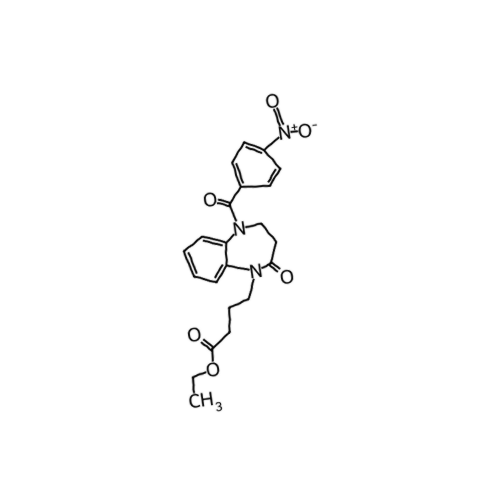 CCOC(=O)CCCN1C(=O)CCN(C(=O)c2ccc([N+](=O)[O-])cc2)c2ccccc21